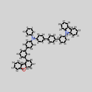 c1ccc(N(c2ccc(-c3ccc(-c4cccc(-n5c6ccccc6c6ccccc65)c4)cc3)cc2)c2ccc(-c3cccc(-c4cccc5oc6ccccc6c45)c3)cc2)cc1